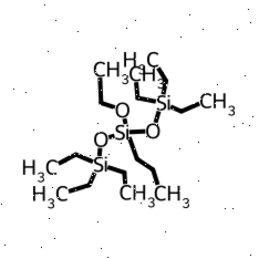 CCC[Si](OCC)(O[Si](CC)(CC)CC)O[Si](CC)(CC)CC